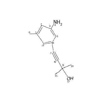 Cc1cc(N)cc(C#CC(C)(C)O)c1